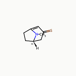 CN1C2=CC(=S)C[C@@H]1CC2